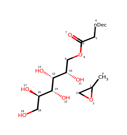 CC1CO1.CCCCCCCCCCCC(=O)OC[C@H](O)[C@@H](O)[C@H](O)[C@H](O)CO